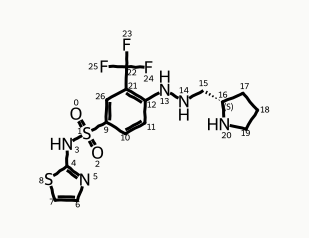 O=S(=O)(Nc1nccs1)c1ccc(NNC[C@@H]2CCCN2)c(C(F)(F)F)c1